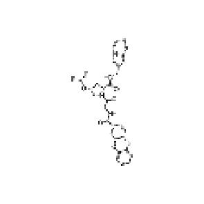 O=C(NCC(=O)N1C[C@H](OC(F)F)C[C@H]1C(=O)NCc1cc2cnccn2c1)c1ccc2c(c1)Oc1ccccc1S2